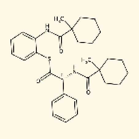 CC1(C(=O)Nc2ccccc2SC(=O)[C@H](NC(=O)C2(C)CCCCC2)c2ccccc2)CCCCC1